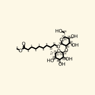 COC(=O)CCCCCCCCO[C@@H]1O[C@H](CO)[C@H](O)[C@H](O)[C@H]1O[C@@H]1O[C@@H](C)[C@@H](O)[C@@H](O)[C@@H]1O